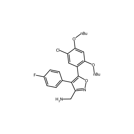 CCCCOc1cc(OCCCC)c(-c2onc(CN)c2-c2ccc(F)cc2)cc1Cl